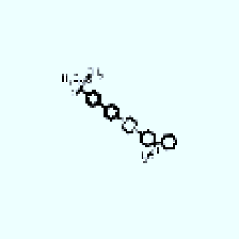 CON(C)C(=O)c1ccc(-c2ccc(N3CCN(C4CCC(OC)(C5CCCCC5)CC4)CC3)cc2)cc1